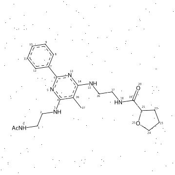 CC(=O)NCCNc1nc(-c2ccccc2)nc(NCCNC(=O)C2CCCO2)c1C